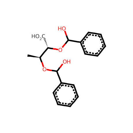 C[C@H](OC(O)c1ccccc1)[C@@H](OC(O)c1ccccc1)C(=O)O